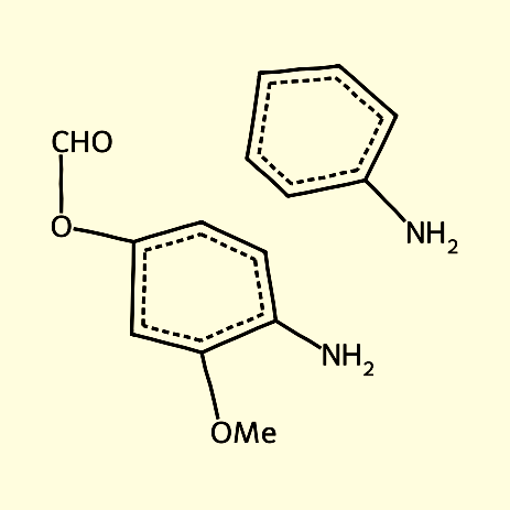 COc1cc(OC=O)ccc1N.Nc1ccccc1